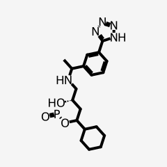 CC(NC[C@@H](O)CC(OP=O)C1CCCCC1)c1cccc(-c2nnn[nH]2)c1